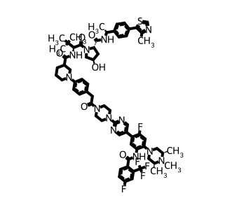 Cc1ncsc1-c1ccc([C@H](C)NC(=O)[C@@H]2C[C@@H](O)CN2C(=O)[C@@H](NC(=O)C2CCCN(c3ccc(CC(=O)N4CCN(c5ncc(-c6cc(NC(=O)c7ccc(F)cc7C(F)(F)F)c(N7C[C@@H](C)N(C)[C@@H](C)C7)cc6F)cn5)CC4)cc3)C2)C(C)(C)C)cc1